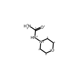 NC(=O)NN1CCOCC1